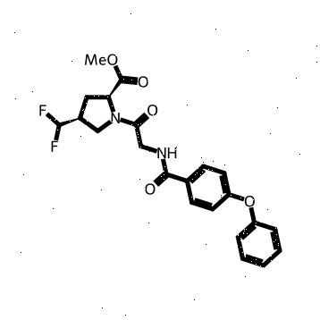 COC(=O)[C@@H]1C[C@H](C(F)F)CN1C(=O)CNC(=O)c1ccc(Oc2ccccc2)cc1